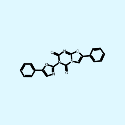 O=c1nc2oc(-c3ccccc3)cn2c(=O)n1-c1ncc(-c2ccccc2)o1